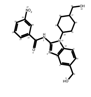 O=C(Nc1nc2cc(CO)ccc2n1C1CCC(CO)CC1)c1cccc([N+](=O)[O-])c1